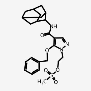 CS(=O)(=O)OCCn1ncc(C(=O)NC2C3CC4CC(C3)CC2C4)c1OCc1ccccc1